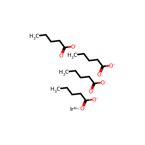 CCCCC(=O)[O-].CCCCC(=O)[O-].CCCCC(=O)[O-].CCCCC(=O)[O-].[Ir+4]